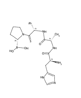 CC(C)[C@H](NC(=O)[C@H](C)NC(=O)[C@@H](N)Cc1cnc[nH]1)C(=S)N1CCC[C@H]1B(O)O